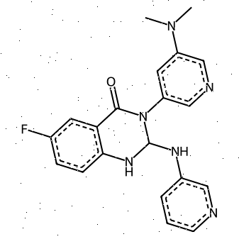 CN(C)c1cncc(N2C(=O)c3cc(F)ccc3NC2Nc2cccnc2)c1